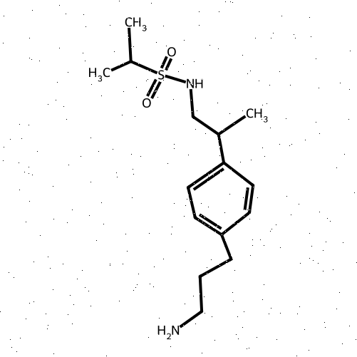 CC(CNS(=O)(=O)C(C)C)c1ccc(CCCN)cc1